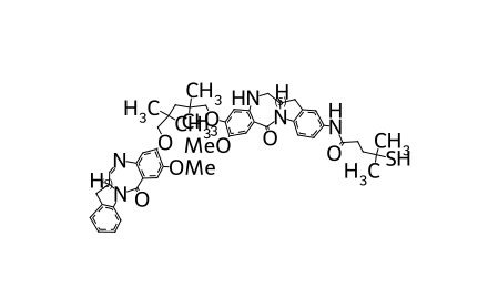 COc1cc2c(cc1OCC(C)(C)CC(C)(C)COc1cc3c(cc1OC)C(=O)N1c4ccc(NC(=O)CCC(C)(C)S)cc4C[C@H]1CN3)N=C[C@@H]1Cc3ccccc3N1C2=O